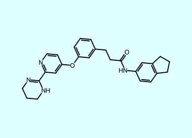 O=C(CCc1cccc(Oc2ccnc(C3=NCCCN3)c2)c1)Nc1ccc2c(c1)CCC2